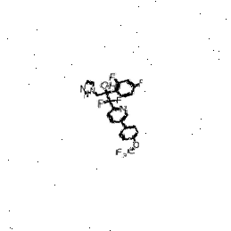 OC(Cn1ccnn1)(c1ccc(F)cc1F)C(F)(F)c1ccc(-c2ccc(OC(F)(F)F)cc2)cn1